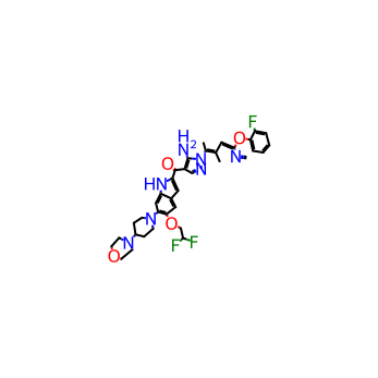 C=N/C(=C\C(C)=C(/C)n1ncc(C(=O)c2cc3cc(OCC(F)F)c(N4CCC(N5CCOCC5)CC4)cc3[nH]2)c1N)Oc1ccccc1F